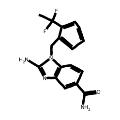 CC(F)(F)c1ccccc1Cn1c(N)nc2cc(C(N)=O)ccc21